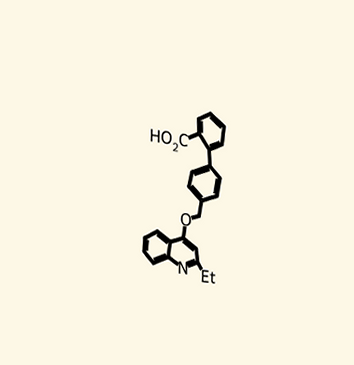 CCc1cc(OCc2ccc(-c3ccccc3C(=O)O)cc2)c2ccccc2n1